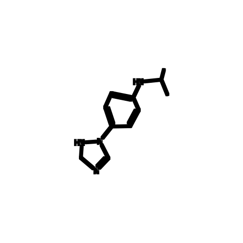 CC(C)Nc1ccc(N2C=NCN2)cc1